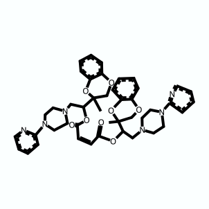 CC1(C(CN2CCN(c3ccccn3)CC2)OC(=O)/C=C\C(=O)OC(CN2CCN(c3ccccn3)CC2)C2(C)COc3ccccc3O2)COc2ccccc2O1